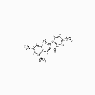 CCN1/C(=C\c2ccc([N+](=O)[O-])cc2[N+](=O)[O-])Sc2cc([N+](=O)[O-])ccc21